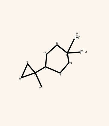 CC(C)C1(F)CCC(C2(C)CC2)CC1